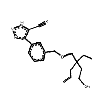 C=CCC(CC)(CCO)COCc1cccc(-c2nn[nH]c2C#N)c1